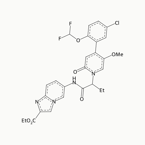 CCOC(=O)c1cn2cc(NC(=O)C(CC)n3cc(OC)c(-c4cc(Cl)ccc4OC(F)F)cc3=O)ccc2n1